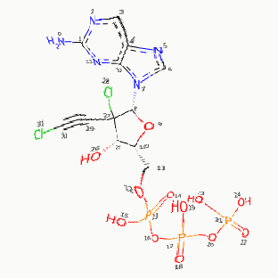 Nc1ncc2ncn([C@@H]3O[C@H](COP(=O)(O)OP(=O)(O)OP(=O)(O)O)[C@H](O)C3(Cl)C#CCl)c2n1